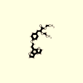 CCOC(=O)C(Cc1ccc(OCC=C2c3occc3-c3ccoc32)cc1)OCC